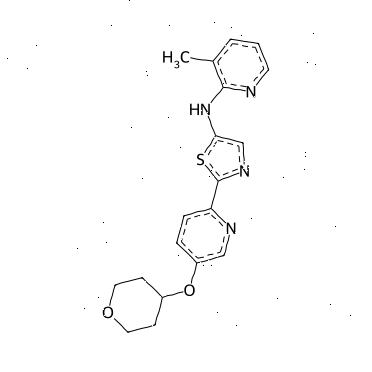 Cc1cccnc1Nc1cnc(-c2ccc(OC3CCOCC3)cn2)s1